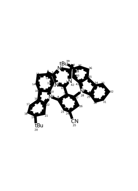 Cc1nc(C)nc(-c2c(-n3c4ccccc4c4ccc(C(C)(C)C)cc43)cc(C#N)cc2-n2c3ccccc3c3ccc(C(C)(C)C)cc32)n1